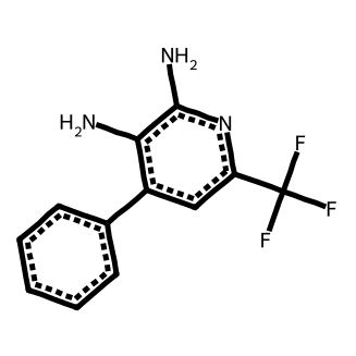 Nc1nc(C(F)(F)F)cc(-c2ccccc2)c1N